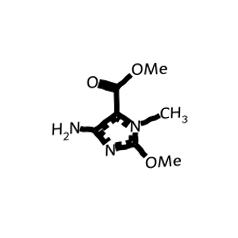 COC(=O)c1c(N)nc(OC)n1C